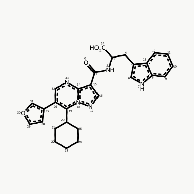 O=C(NC(Cc1c[nH]c2ccccc12)C(=O)O)c1cnn2c(C3CCCCC3)c(-c3ccoc3)cnc12